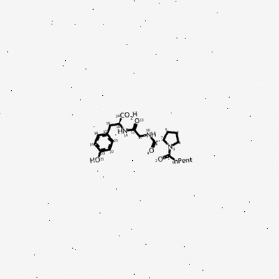 CCCCCC(=O)N1CCC[C@H]1C(=O)NCC(=O)N[C@@H](Cc1ccc(O)cc1)C(=O)O